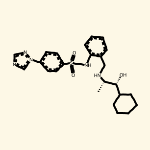 C[C@H](NCc1ccccc1NS(=O)(=O)c1ccc(-n2cncn2)cc1)[C@H](O)C1CCCCC1